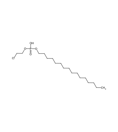 CCCCCCCCCCCCCCCCOP(=O)(O)OCCCl